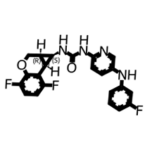 O=C(Nc1ccc(Nc2cccc(F)c2)cn1)N[C@@H]1[C@@H]2COc3c(F)ccc(F)c3[C@@H]21